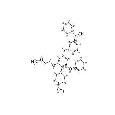 COCCOc1nc(Sc2cccc(C(C)c3ccccc3)c2)cc(Oc2ccccc2)c1N1CCN(C)CC1